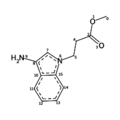 COC(=O)CCn1cc(N)c2ccccc21